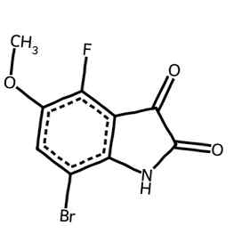 COc1cc(Br)c2c(c1F)C(=O)C(=O)N2